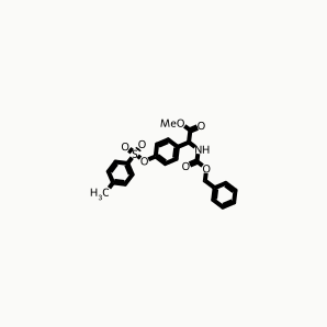 COC(=O)C(NC(=O)OCc1ccccc1)c1ccc(OS(=O)(=O)c2ccc(C)cc2)cc1